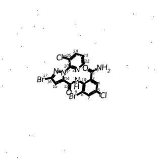 NC(=O)c1cc(Cl)cc(Br)c1NC(=O)c1cc(Br)nn1-c1ncccc1Cl